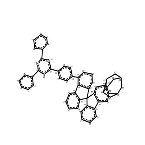 c1ccc(-c2nc(-c3ccccc3)nc(-c3ccc(-c4cccc5c4-c4ccccc4C54c5ccccc5-c5cc6c(cc54)C4CC5CC(CC6C5)C4)cc3)n2)cc1